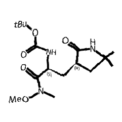 CON(C)C(=O)[C@H](C[C@@H]1CC(C)(C)NC1=O)NC(=O)OC(C)(C)C